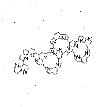 c1cnc2c(-c3ccc4ccc5ccc(-c6cc7nc8c6nccc8c6ccc8ccc9ccc(nc9c8n6)c6cc8nc9c(cc7nc69)c6ccc7ccc9ccc(nc9c7n6)c6cc7nc9c(cc8nc69)c6ccc8ccc9ccc(nc9c8n6)c6ccnc8ccc7nc86)nc5c4n3)ccnc2c1